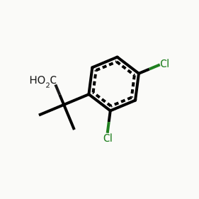 CC(C)(C(=O)O)c1ccc(Cl)cc1Cl